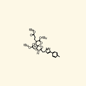 Cc1ccc(-c2cn(CC(=O)N[C@@H](CC(=O)OC(C)(C)C)C(=O)N[C@@H](CCC(=O)OC(C)(C)C)C(=O)OC(C)(C)C)nn2)cc1